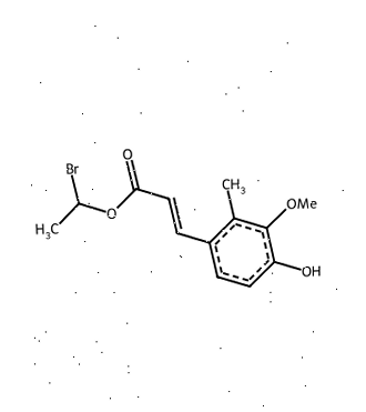 COc1c(O)ccc(C=CC(=O)OC(C)Br)c1C